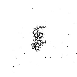 COc1ccc(Cn2c(=O)c(C3=NS(=O)(=O)c4ccccc4N3)c(O)c3cccnc32)cc1